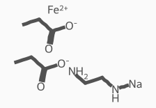 CCC(=O)[O-].CCC(=O)[O-].NCC[NH][Na].[Fe+2]